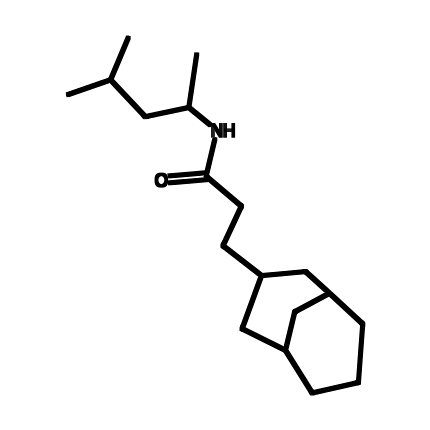 CC(C)CC(C)NC(=O)CCC1CC2CCCC(C2)C1